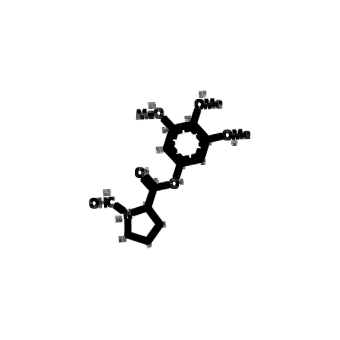 COc1cc(OC(=O)C2CCCN2C=O)cc(OC)c1OC